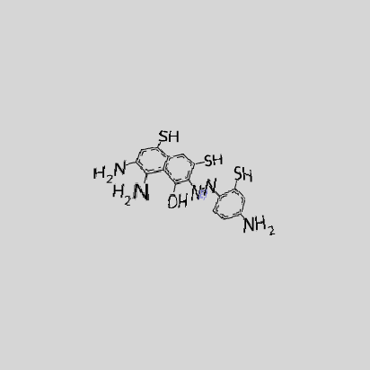 Nc1ccc(/N=N/c2c(S)cc3c(S)cc(N)c(N)c3c2O)c(S)c1